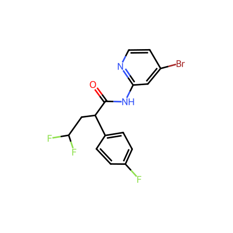 O=C(Nc1cc(Br)ccn1)C(CC(F)F)c1ccc(F)cc1